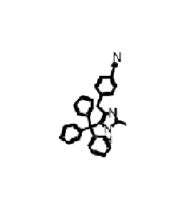 Cc1nc(Cc2ccc(C#N)cc2)c(C(c2ccccc2)(c2ccccc2)c2ccccc2)[nH]1